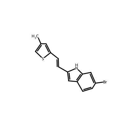 Cc1csc(C=Cc2cc3ccc(Br)cc3[nH]2)c1